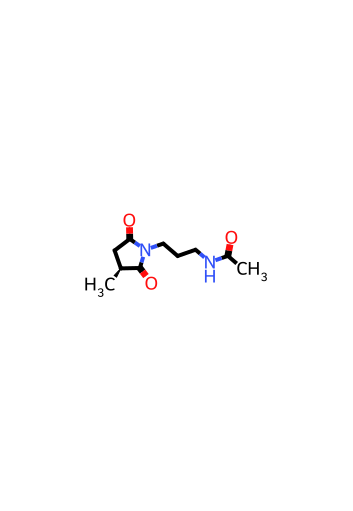 CC(=O)NCCCN1C(=O)C[C@H](C)C1=O